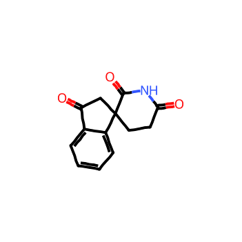 O=C1CCC2(CC(=O)c3ccccc32)C(=O)N1